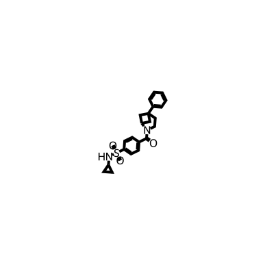 O=C(c1ccc(S(=O)(=O)NC2CC2)cc1)N1CCC2(c3ccccc3)CC1C2